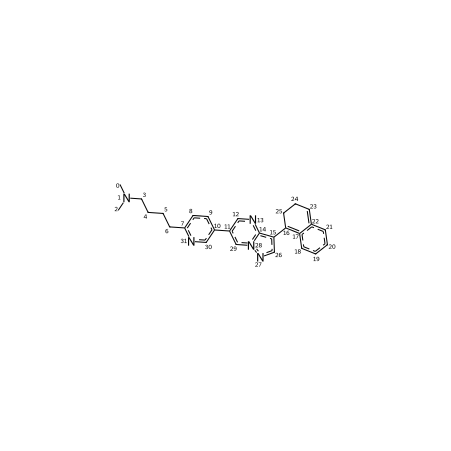 CN(C)CCCCc1ccc(-c2cnc3c(C4=c5ccccc5=CCC4)cnn3c2)cn1